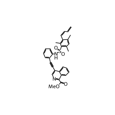 C=C/C=C\c1c(C)cc(C)c(S(=O)(=O)Nc2ccccc2C#Cc2cnc(C(=O)OC)c3ccccc23)c1C